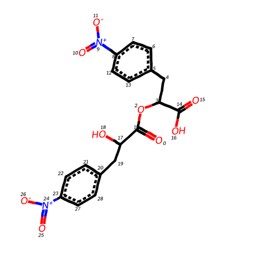 O=C(OC(Cc1ccc([N+](=O)[O-])cc1)C(=O)O)C(O)Cc1ccc([N+](=O)[O-])cc1